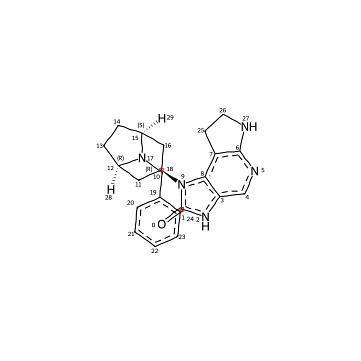 O=c1[nH]c2cnc3c(c2n1[C@H]1C[C@H]2CC[C@@H](C1)N2Cc1ccccc1)CCN3